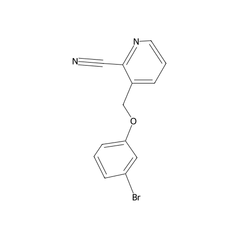 N#Cc1ncccc1COc1cccc(Br)c1